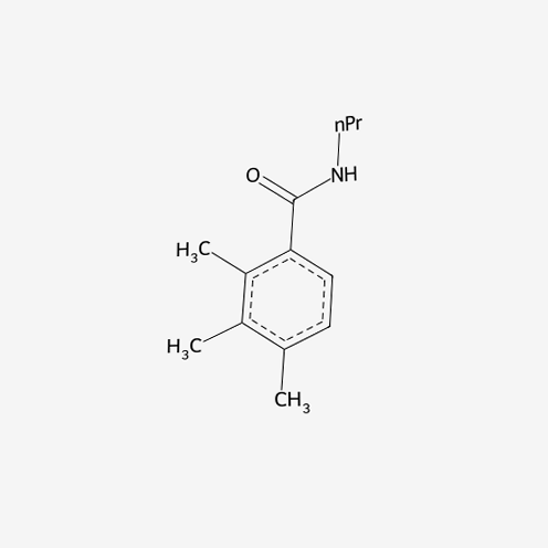 CCCNC(=O)c1ccc(C)c(C)c1C